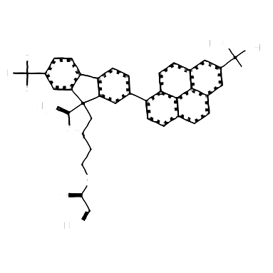 C=CC(=O)OCCCCC1(C(=C)C)c2cc(-c3ccc4ccc5cc(C(C)(C)C)cc6ccc3c4c56)ccc2-c2ccc(C(F)(F)F)cc21